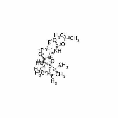 CC(C)OC(=O)N[C@@H](C(F)F)[C@@H](O[Si](C(C)C)(C(C)C)C(C)C)C(=O)O